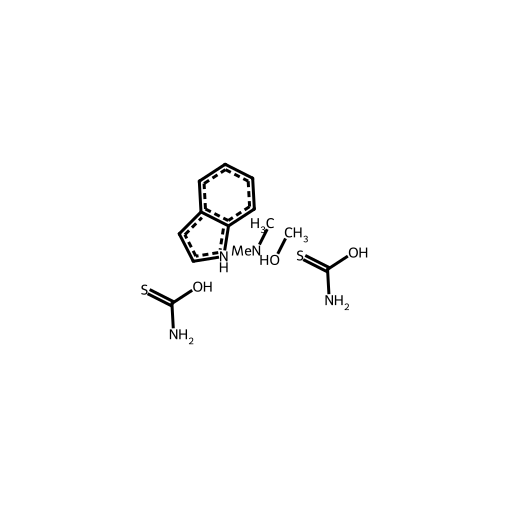 CNC.CO.NC(O)=S.NC(O)=S.c1ccc2[nH]ccc2c1